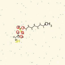 CCCCCCCCOS(=O)(=O)OC(=O)CS